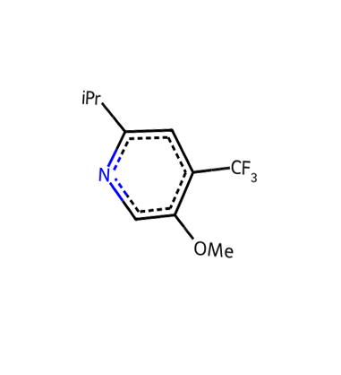 COc1cnc(C(C)C)cc1C(F)(F)F